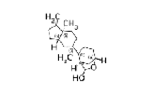 C=C1CC[C@H]2C[C@@H]([C@@]3(C)CC[C@H]4C[C@H]3C(O)O4)CC[C@]12C